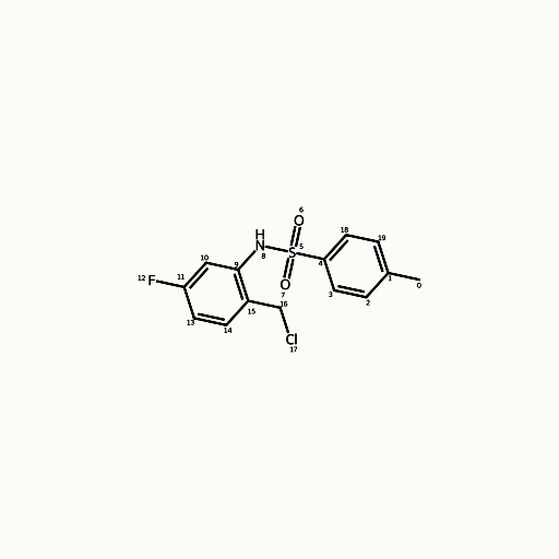 Cc1ccc(S(=O)(=O)Nc2cc(F)ccc2CCl)cc1